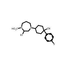 CCC1CN(C2CCC(C#N)(c3ccc(F)cc3)CC2)CCCN1C(=O)O